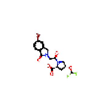 O=C(O)[C@@H]1C[C@@H](OC(F)F)CN1C(=O)CN1Cc2cc(Br)ccc2C1=O